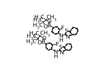 CC1(C)OB(c2ccc(Nc3nc4ccccc4s3)c(F)c2)OC1(C)C.CC1(C)OB(c2ccc(Nc3nc4ccccc4s3)c(F)c2)OC1(C)C